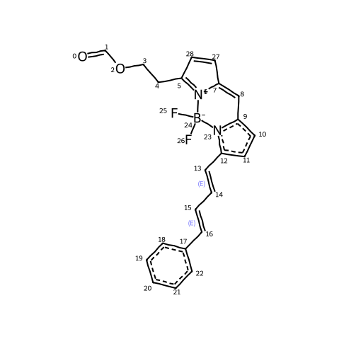 O=COCCC1=[N+]2C(=Cc3ccc(/C=C/C=C/c4ccccc4)n3[B-]2(F)F)C=C1